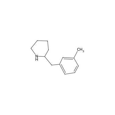 Cc1cccc(CC2CCCCN2)c1